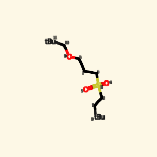 CC(C)(C)CCS(=O)(=O)CCCOCC(C)(C)C